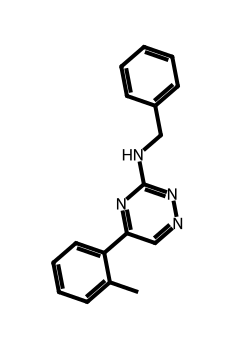 Cc1ccccc1-c1cnnc(NCc2ccccc2)n1